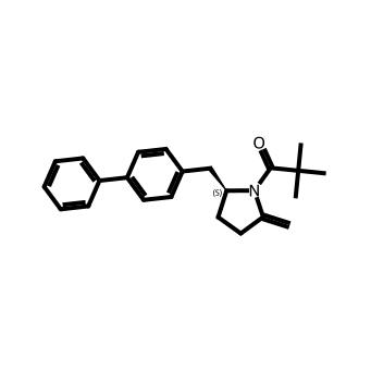 C=C1CC[C@@H](Cc2ccc(-c3ccccc3)cc2)N1C(=O)C(C)(C)C